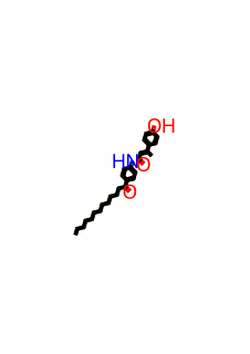 CCCCCCCCCCCCC(=O)c1ccc(NC(=O)/C=C(\C)c2ccc(O)cc2)cc1